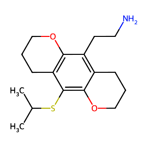 CC(C)Sc1c2c(c(CCN)c3c1OCCC3)OCCC2